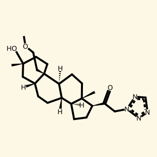 COCC[C@]12CC[C@@](C)(O)C[C@H]1CC[C@H]1[C@@H]3CC[C@H](C(=O)Cn4ncnn4)[C@@]3(C)CC[C@@H]12